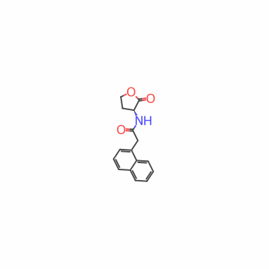 O=C(Cc1cccc2ccccc12)N[C@H]1CCOC1=O